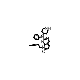 CC#CCCn1c(=O)ccc2cnc(N(c3ccccc3)C3CCNCC3)nc21